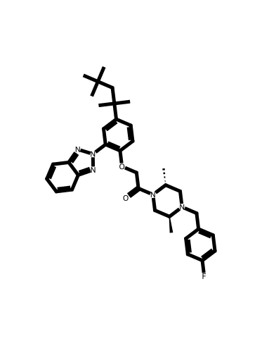 C[C@@H]1CN(Cc2ccc(F)cc2)[C@@H](C)CN1C(=O)COc1ccc(C(C)(C)CC(C)(C)C)cc1-n1nc2ccccc2n1